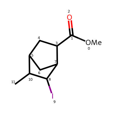 COC(=O)C1CC2CC1C(I)C2C